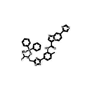 Cc1ccc(-c2noc(C[C@H](O[Si](c3ccccc3)(c3ccccc3)C(C)(C)C)C(F)F)n2)cc1NC(=O)c1cnc2cc(-c3cscn3)ccn12